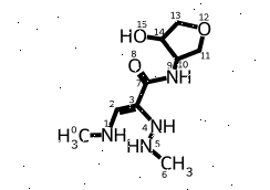 CN/C=C(\NNC)C(=O)NC1COCC1O